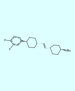 CCCC[C@H]1CC[C@H](C=C[C@H]2CC[C@H](c3ccc(F)c(F)c3)CC2)CC1